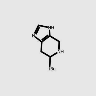 CC(C)(C)C1Cc2nc[nH]c2CN1